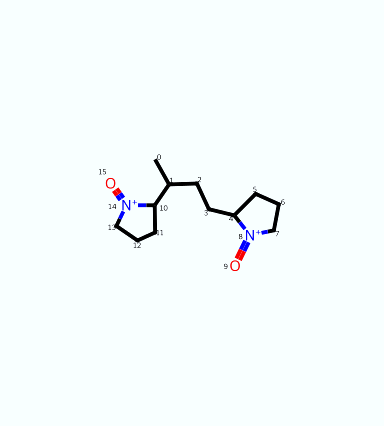 CC(CCC1CCC[N+]1=O)C1CCC[N+]1=O